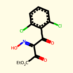 CCOC(=O)C(=O)C(=NO)C(=O)c1c(Cl)cccc1Cl